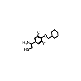 N/C(=C\S)c1cc(Cl)c(OCC2CCCCC2)c(Cl)c1